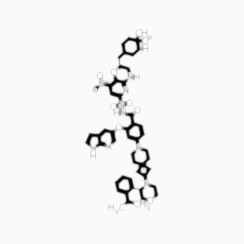 CC(C)c1ccccc1[C@@H]1COCCN1C1CC2(CCN(c3ccc(C(=O)NS(=O)(=O)c4cc([N+](=O)[O-])c5c(n4)NC[C@H](CC4CCC(C)(O)CC4)O5)c(Oc4cnc5[nH]ccc5c4)c3)CC2)C1